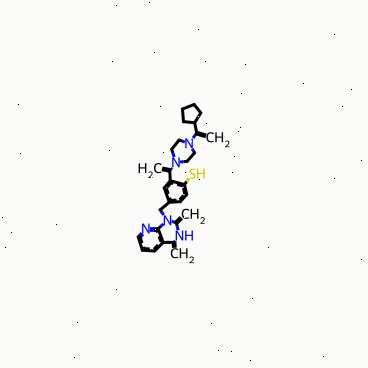 C=C1NC(=C)N(Cc2ccc(S)c(C(=C)N3CCN(C(=C)C4CCCC4)CC3)c2)c2ncccc21